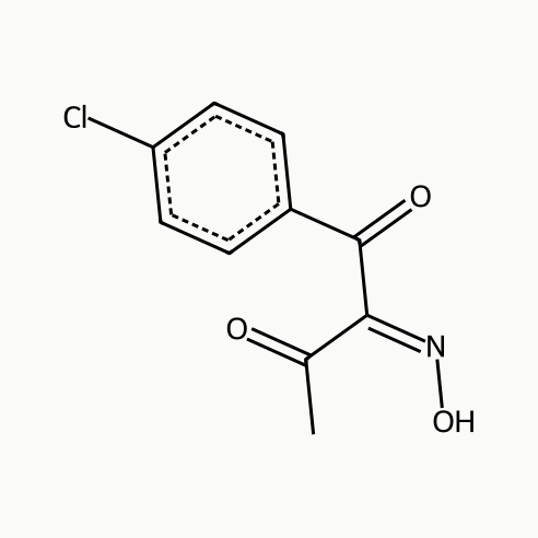 CC(=O)/C(=N\O)C(=O)c1ccc(Cl)cc1